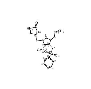 C=CCC1OC(C[C@H]2CNC(=O)O2)[C@H](OC)[C@H]1CS(=O)(=O)c1ccccc1